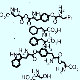 CC(C)C[C@H](N)C(=O)Oc1ccc(C[C@@H](N)C(=O)OC(=O)CC[C@@H](N)C(=O)O)cc1.N[C@@H](CC1CCCCC1)C(=O)O.N[C@@H](CO)C(=O)O.N[C@@H](Cc1ccccc1)C(=O)O.N[C@H](COC(=O)[C@@H](N)Cc1ccc(OC(=O)[C@@H](N)Cc2c[nH]c3ccccc23)cc1)C(=O)O